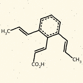 CC=Cc1cccc(C=CC)c1C=CC(=O)O